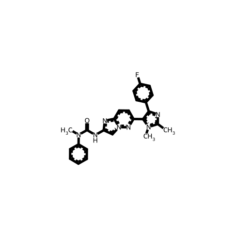 Cc1nc(-c2ccc(F)cc2)c(-c2ccc3nc(NC(=O)N(C)c4ccccc4)cn3n2)n1C